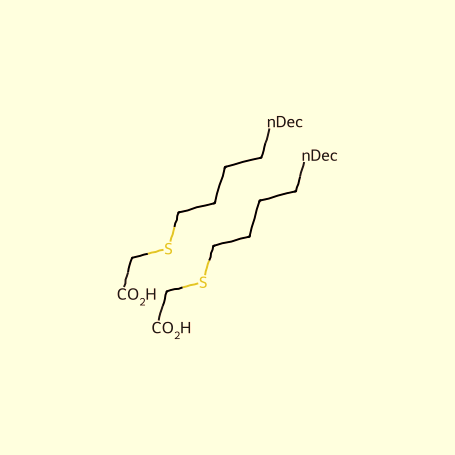 CCCCCCCCCCCCCCSCC(=O)O.CCCCCCCCCCCCCCSCC(=O)O